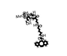 COP(=O)(O)OC1[C@@H](CO)O[C@@H](n2cc(CCCNC(=O)CCCCCNC(=O)OC3Cc4ccccc4C#Cc4ccccc43)c(=O)[nH]c2=O)[C@H]1O